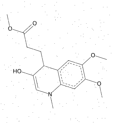 COC(=O)CCC1C(O)=CN(C)c2cc(OC)c(OC)cc21